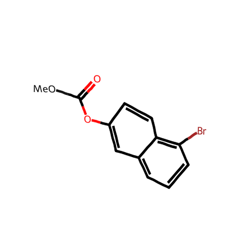 COC(=O)Oc1ccc2c(Br)cccc2c1